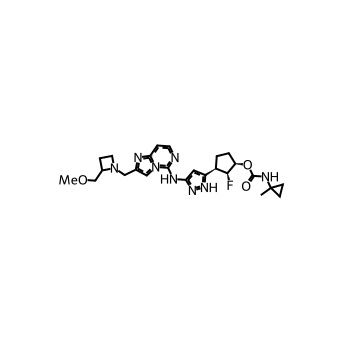 COCC1CCN1Cc1cn2c(Nc3cc([C@H]4CC[C@@H](OC(=O)NC5(C)CC5)[C@H]4F)[nH]n3)nccc2n1